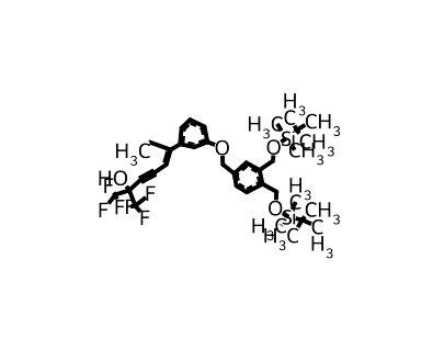 CCC(=CC#CC(O)(C(F)(F)F)C(F)(F)F)c1cccc(OCc2ccc(CO[Si](C)(C)C(C)(C)C)c(CO[Si](C)(C)C(C)(C)C)c2)c1